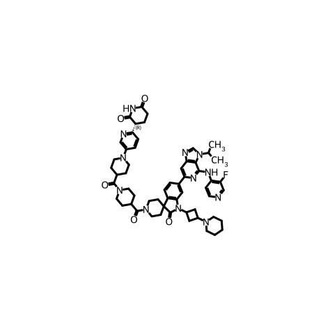 CC(C)n1cnc2cc(-c3ccc4c(c3)N(C3CC(N5CCCCC5)C3)C(=O)C43CCN(C(=O)C4CCN(C(=O)C5CCN(c6ccc([C@H]7CCC(=O)NC7=O)nc6)CC5)CC4)CC3)nc(Nc3ccncc3F)c21